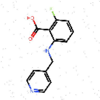 O=C(O)c1c(F)cccc1NCc1ccncc1